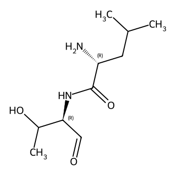 CC(C)C[C@@H](N)C(=O)N[C@@H](C=O)C(C)O